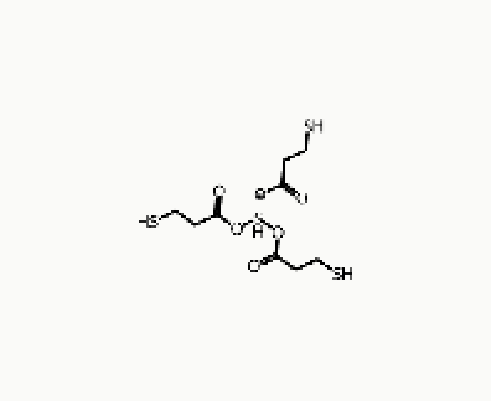 O=C(CCS)O[SH](OC(=O)CCS)OC(=O)CCS